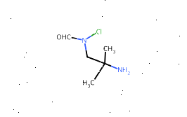 CC(C)(N)CN(Cl)C=O